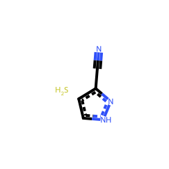 N#Cc1cc[nH]n1.S